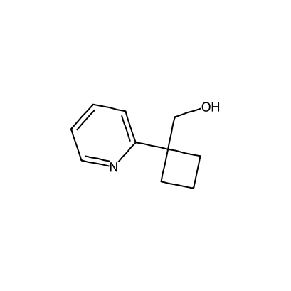 OCC1(c2ccccn2)CCC1